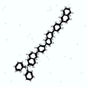 c1ccc(N(c2ccccc2)c2ccc3cc(-c4ccc(-c5ccc6cc(-c7ccc(-c8ccc9ccccc9c8)cc7)ccc6c5)cc4)ccc3c2)cc1